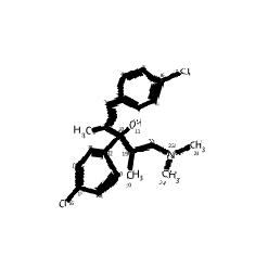 CC(=Cc1ccc(Cl)cc1)C(O)(c1ccc(Cl)cc1)C(C)CN(C)C